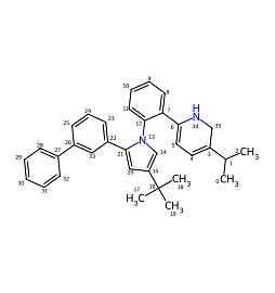 CC(C)C1=CC=C(c2ccccc2-n2cc(C(C)(C)C)cc2-c2cccc(-c3ccccc3)c2)NC1